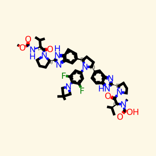 COC(=O)N[C@H](C(=O)N1CCC[C@H]1c1nc2cc([C@H]3CC[C@H](c4ccc5[nH]c([C@@H]6CCCN6C(=O)[C@H](C(C)C)N(C)C(=O)O)nc5c4)N3c3cc(F)c(N4CC(C)(C)C4)c(F)c3)ccc2[nH]1)C(C)C